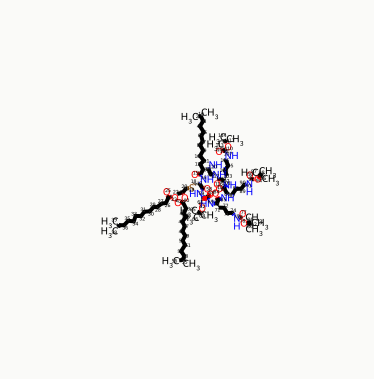 CC(C)CCCCCCCCCCCC(=O)N[C@@H](CSCC(COC(=O)CCCCCCCCCCCC(C)C)OC(=O)CCCCCCCCCCCC(C)C)C(=O)N[C@@H](COC(C)(C)C)C(=O)N[C@@H](CCCCNC(=O)OC(C)(C)C)C(=O)N[C@@H](CCCCNC(=O)OC(C)(C)C)C(=O)N[C@@H](CCCCNC(=O)OC(C)(C)C)C(=O)NCCN